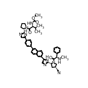 CN[C@@H](C(=O)N1C[C@@H](C#N)C[C@H]1c1ncc(-c2ccc3cc(-c4ccc(-c5cnc([C@@H]6CCCN6C(=O)[C@@H](NC(=O)OC)C(C)C)[nH]5)cc4)ccc3c2)[nH]1)c1ccccc1